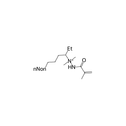 C=C(C)C(=O)N[N+](C)(C)C(CC)CCCCCCCCCCCC